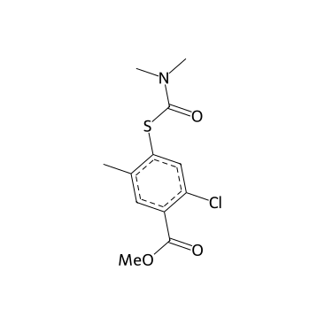 COC(=O)c1cc(C)c(SC(=O)N(C)C)cc1Cl